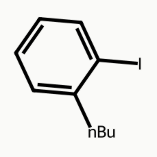 [CH2]CCCc1ccccc1I